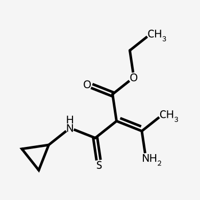 CCOC(=O)C(C(=S)NC1CC1)=C(C)N